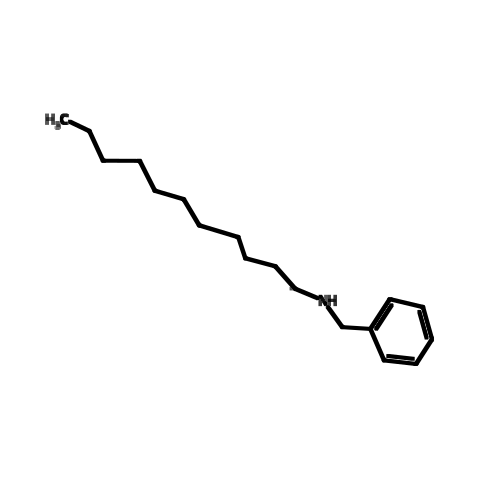 CCCCCCCCCC[CH]NCc1ccccc1